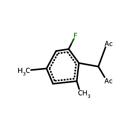 CC(=O)C(C(C)=O)c1c(C)cc(C)cc1F